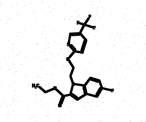 CCOC(=O)c1cc2cc(F)ccc2n1CCOc1ccc(C(F)(F)F)cn1